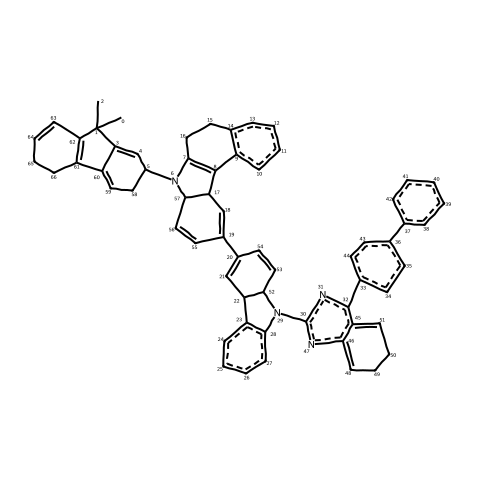 CC1(C)C2=CC(N3C4=C(c5ccccc5CC4)C4C=C(C5=CC6c7ccccc7N(c7nc(-c8ccc(-c9ccccc9)cc8)c8c(n7)=CCCC=8)C6C=C5)C=CC43)CC=C2C2=C1C=CCC2